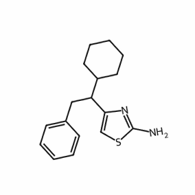 Nc1nc(C(Cc2ccccc2)C2CCCCC2)cs1